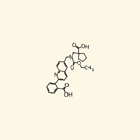 CCOC(=O)N(Cc1ccc2nc(-c3ccccc3C(=O)O)ccc2c1)CC1(C(=O)O)CCCC1